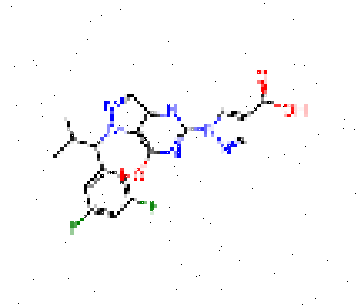 CC(C)C(c1cc(F)cc(F)c1)n1ncc2nc(-n3cc(C(=O)O)cn3)nc(O)c21